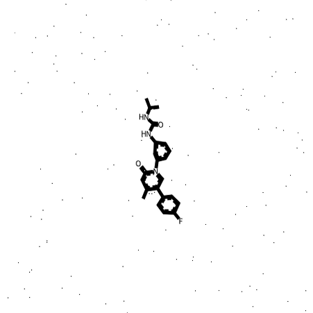 Cc1cc(=O)n(-c2cccc(NC(=O)NC(C)C)c2)cc1-c1ccc(F)cc1